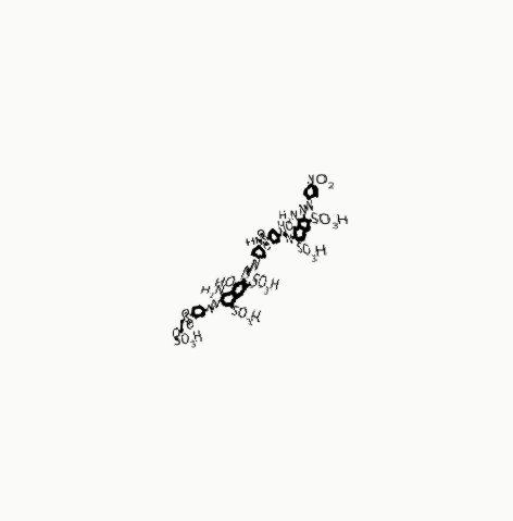 Nc1c(/N=N/c2ccc([N+](=O)[O-])cc2)c(S(=O)(=O)O)cc2cc(S(=O)(=O)O)c(/N=N/c3ccc(S(=O)(=O)Nc4ccc(/N=N/c5c(S(=O)(=O)O)cc6c(S(=O)(=O)O)cc(/N=N/c7ccc(S(=O)(=O)CCOS(=O)(=O)O)cc7)c(N)c6c5O)cc4)cc3)c(O)c12